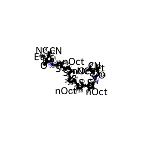 CCCCCCCCc1cc(/C=c2\sc(=C(C#N)C#N)n(CC)c2=O)sc1-c1cc(CCCCCCCC)c(-c2ccc(-c3sc(-c4sc(/C=c5\sc(=C(C#N)C#N)n(CC)c5=O)cc4CCCCCCCC)cc3CCCCCCCC)s2)s1